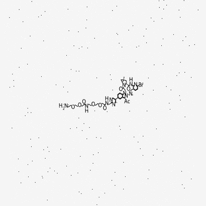 CC(=O)c1nn(CC(=O)N2C3C[C@]3(C)C[C@H]2C(=O)Nc2nc(Br)ccc2CN(C)C)c2ccc(-c3cnc(CNC(=O)COCCOCCNC(=O)COCCOCCN)nc3)cc12